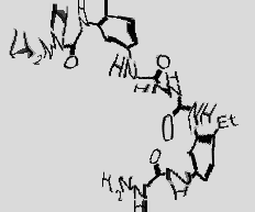 CCc1ccc(NC(=O)NN)cc1NC(=O)NNC(=O)Nc1ccc(C)c(NC(=O)NN)c1